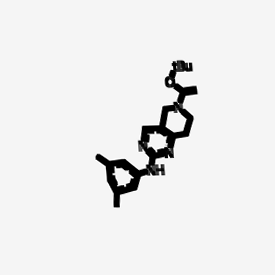 C=C(OC(C)(C)C)N1CCc2nc(Nc3cc(C)cc(C)c3)ncc2C1